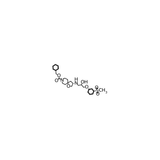 CS(=O)(=O)c1cccc(OC[C@H](O)CN[C@@H]2COC3(CCN(C(=O)OCc4ccccc4)CC3)C2)c1